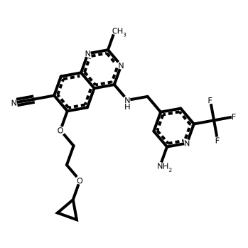 Cc1nc(NCc2cc(N)nc(C(F)(F)F)c2)c2cc(OCCOC3CC3)c(C#N)cc2n1